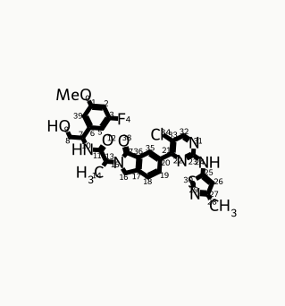 COc1cc(F)cc(C(CO)NC(=O)C(C)N2Cc3ccc(-c4nc(Nc5cc(C)ns5)ncc4Cl)cc3C2=O)c1